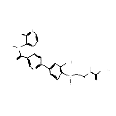 COC(=O)NCCN(C(C)=O)c1ccc(-c2ccc(C(=O)N(C)c3cccnc3C)cn2)cc1C